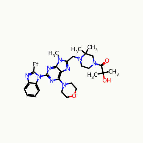 CCc1nc2ccccc2n1-c1nc(N2CCOCC2)c2nc(CN3CCN(C(=O)C(C)(C)O)CC3(C)C)n(C)c2n1